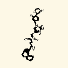 O=C(CCC(=O)c1cccc2ccccc12)NC[C@H]1CN(c2ccc(C3CNCCO3)c(F)c2)C(=O)O1